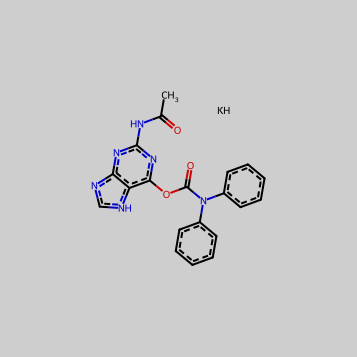 CC(=O)Nc1nc(OC(=O)N(c2ccccc2)c2ccccc2)c2[nH]cnc2n1.[KH]